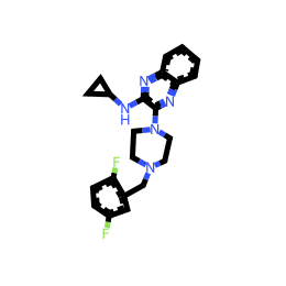 Fc1ccc(F)c(CN2CCN(c3nc4ccccc4nc3NC3CC3)CC2)c1